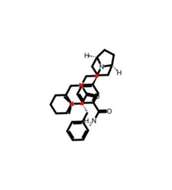 CN(C)[C@@H](Cc1ccccc1)C(=O)N(CCN1[C@@H]2CC[C@H]1C[C@@H](c1cccc(C(N)=O)c1)C2)CC1CCCCC1